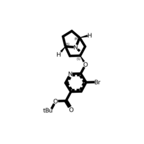 CN1[C@@H]2CC[C@H]1C[C@H](Oc1ncc(C(=O)OC(C)(C)C)cc1Br)C2